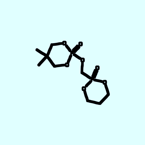 CC1(C)COP(=O)(OCP2(=O)OCCCO2)OC1